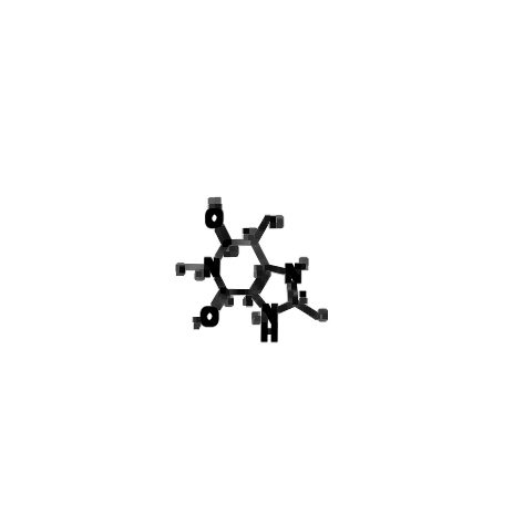 Cc1nc2c([nH]1)C(=O)N(C)C(=O)C2C